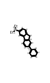 CCN(CC)c1ccc2c(c1)-c1ccc(-c3ccccc3)cc1C2